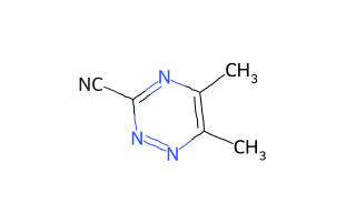 Cc1nnc(C#N)nc1C